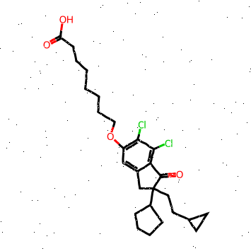 O=C(O)CCCCCCCOc1cc2c(c(Cl)c1Cl)C(=O)C(CCC1CC1)(C1CCCC1)C2